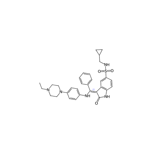 CCN1CCN(c2ccc(N/C(=C3\C(=O)Nc4ccc(S(=O)(=O)NCC5CC5)cc43)c3ccccc3)cc2)CC1